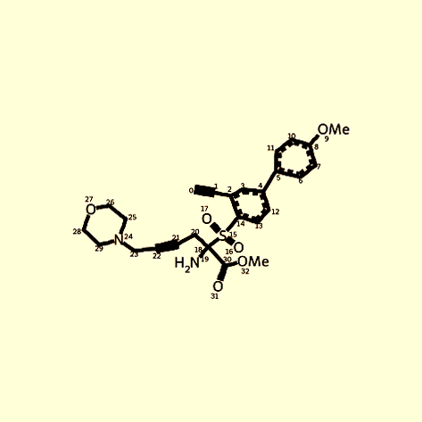 C#Cc1cc(-c2ccc(OC)cc2)ccc1S(=O)(=O)C(N)(CC#CCN1CCOCC1)C(=O)OC